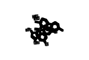 Cl.Cl.[CH2]=[Zr]([C]1=CC(C(C)(C)C)=CC1CCC)([c]1ccc(Cl)cc1)([c]1ccc(Cl)cc1)[c]1c(C)ccc2c1Cc1cc(C)ccc1-2